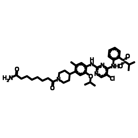 Cc1cc(Nc2ncc(Cl)c(Nc3ccccc3S(=O)(=O)C(C)C)n2)c(OC(C)C)cc1C1CCN(C(=O)CCCCCCC(N)=O)CC1